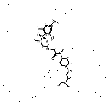 CCN(C)CCO[C@H]1CC[C@@H](N(C)C(=O)COCCN(C)S(=O)(=O)c2c(Cl)cc(OC)cc2Cl)CC1